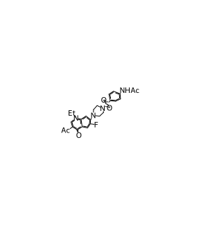 CCn1cc(C(C)=O)c(=O)c2cc(F)c(N3CCN(S(=O)(=O)c4ccc(NC(C)=O)cc4)CC3)cc21